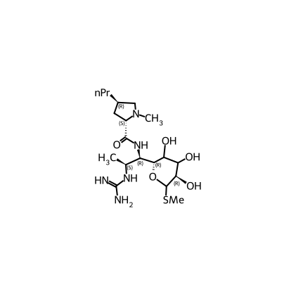 CCC[C@@H]1C[C@@H](C(=O)N[C@H]([C@H](C)NC(=N)N)[C@H]2OC(SC)[C@H](O)C(O)C2O)N(C)C1